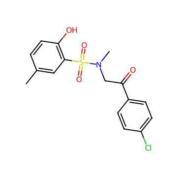 Cc1ccc(O)c(S(=O)(=O)N(C)CC(=O)c2ccc(Cl)cc2)c1